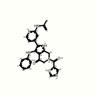 C=C(C)Nc1cc(-c2[nH]c3c(c2Nc2ccccc2)C(=O)CN(C(=O)c2cnco2)C3)ccn1